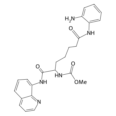 COC(=O)NC(CCCCC(=O)Nc1ccccc1N)C(=O)Nc1cccc2cccnc12